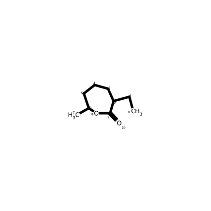 CCC1CCCC(C)OC1=O